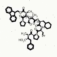 CC(C)C[C@H](NC(=O)[C@H](CC1CCCCC1)NC(=O)[C@H](C)N(C)C(=O)[C@@H]1CCCN1C(=O)[C@H](C)N(C)C(=O)OCC1c2ccccc2-c2ccccc21)C(=O)N1CCC[C@H]1C(=O)N(C)[C@@H](Cc1ccccc1)C(=O)O